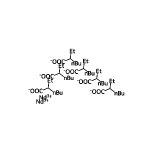 CCCCC(CC)C(=O)[O-].CCCCC(CC)C(=O)[O-].CCCCC(CC)C(=O)[O-].CCCCC(CC)C(=O)[O-].CCCCC(CC)C(=O)[O-].CCCCC(CC)C(=O)[O-].[Nd+3].[Nd+3]